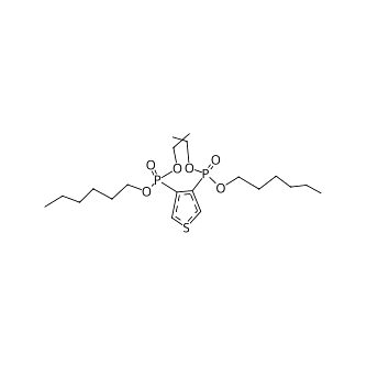 CCCCCCOP(=O)(OCC)c1cscc1P(=O)(OCC)OCCCCCC